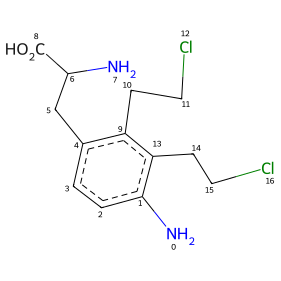 Nc1ccc(CC(N)C(=O)O)c(CCCl)c1CCCl